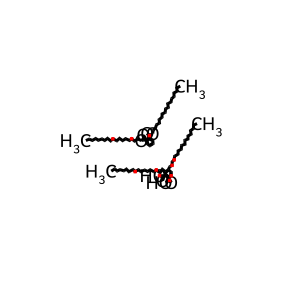 CCCCCCCCCCCCCCCCCCOC(=O)c1ccccc1C(=O)OCCCCCCCCCCCCCCCCCC.CCCCCCCCCCCCCCCCCCc1ccc(C(=O)O)c(C(=O)O)c1CCCCCCCCCCCCCCCCCC